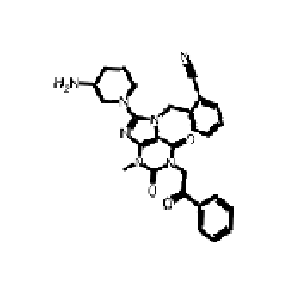 Cn1c(=O)n(CC(=O)c2ccccc2)c(=O)c2c1nc(N1CCCC(N)C1)n2Cc1ccccc1C#N